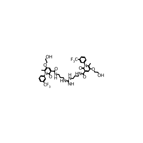 Cc1c(OCCO)cc(C(=O)NCCCNC(=N)NCCCNC(=O)c2cc(OCCO)c(C)n(-c3cccc(C(F)(F)F)c3)c2=O)c(=O)n1-c1cccc(C(F)(F)F)c1